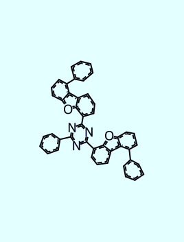 c1ccc(-c2nc(-c3cccc4c3oc3cccc(-c5ccccc5)c34)nc(-c3cccc4c3oc3cccc(-c5ccccc5)c34)n2)cc1